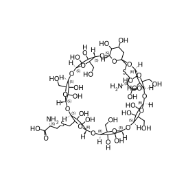 N[C@H](CSCC1O[C@H]2O[C@H]3C(CO)O[C@H](O[C@@H]4C(CO)O[C@H](O[C@@H]5C(CO)O[C@H](OC6(CSC[C@@H](N)C(=O)O)CC(O)C(O)[C@@H](O[C@@H]7C(CO)O[C@@H](O[C@@H]8C(CO)O[C@@H](O[C@H]1C(O)C2O)C(O)C8O)C(O)C7O)O6)C(O)C5O)C(O)C4O)C(O)C3O)C(=O)O